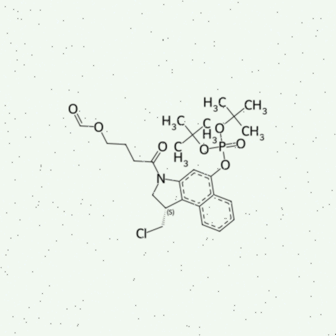 CC(C)(C)OP(=O)(Oc1cc2c(c3ccccc13)[C@H](CCl)CN2C(=O)CCCOC=O)OC(C)(C)C